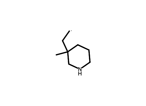 [CH2]CC1(C)CCCNC1